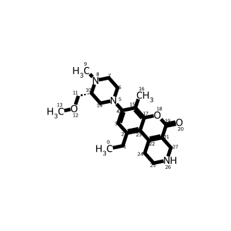 CCc1cc(N2CCN(C)[C@@H](COC)C2)c(C)c2oc(=O)c3c(c12)CCNC3